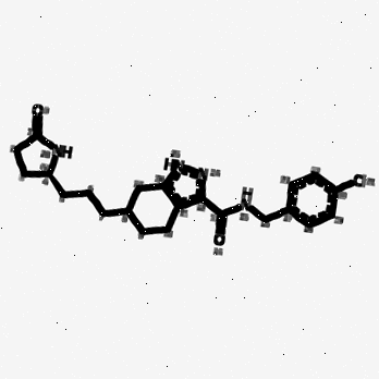 O=C1CC[C@H](CCCC2CCc3c(C(=O)NCc4ccc(Cl)cc4)n[nH]c3C2)N1